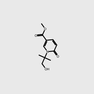 COC(=O)c1ccc(=O)n(C(C)(C)CO)c1